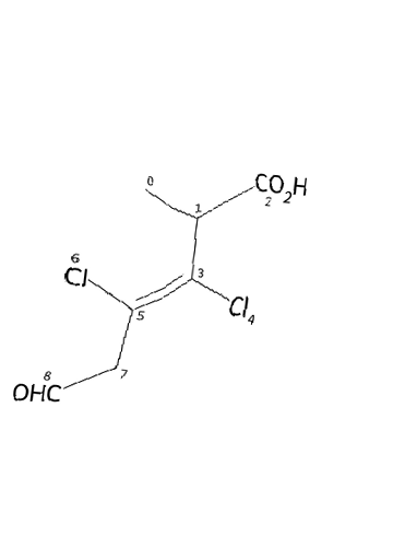 CC(C(=O)O)C(Cl)=C(Cl)CC=O